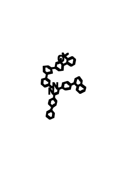 CC1(C)Oc2cc(-c3cccc(-c4cccc(-c5nc(-c6ccc(-c7ccccc7)cc6)cc(-c6ccc(-c7cccc8ccccc78)cc6)n5)c4)c3)ccc2-c2ccccc21